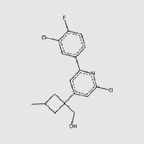 CC1CC(CO)(c2cc(Cl)nc(-c3ccc(F)c(Cl)c3)c2)C1